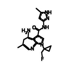 CC1=CN=c2c(c(C(=O)Nc3cc(C)[nH]n3)cn2C2(CF)CC2)=C(N)C1